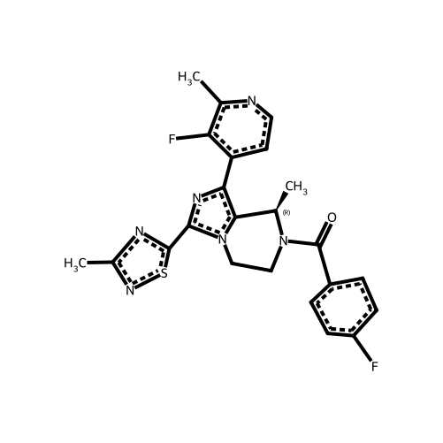 Cc1nsc(-c2nc(-c3ccnc(C)c3F)c3n2CCN(C(=O)c2ccc(F)cc2)[C@@H]3C)n1